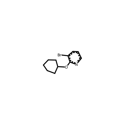 Brc1cccnc1OC1CCCCC1